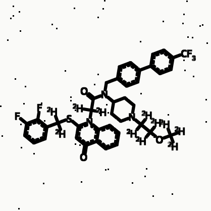 [2H]C([2H])([2H])OC([2H])([2H])C([2H])([2H])N1CCC(N(Cc2ccc(-c3ccc(C(F)(F)F)cc3)cc2)C(=O)C([2H])([2H])n2c(SC([2H])([2H])c3cccc(F)c3F)cc(=O)c3ccccc32)CC1